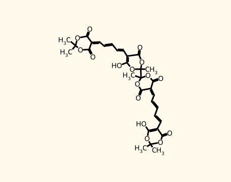 CC1(C)OC(=O)C(=C/C=C/C=C/C2=C(O)OC(C)(C3(C)OC(=O)C(=C/C=C/C=C/C4=C(O)OC(C)(C)OC4=O)C(=O)O3)OC2=O)C(=O)O1